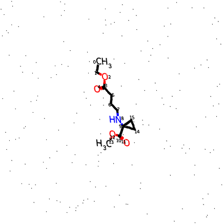 CCOC(=O)CCCNC1(C(=O)OC)CC1